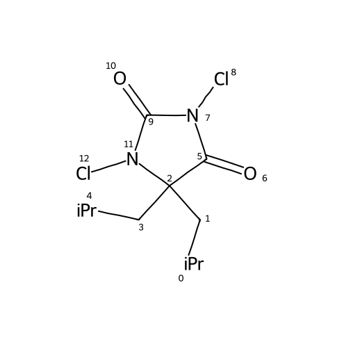 CC(C)CC1(CC(C)C)C(=O)N(Cl)C(=O)N1Cl